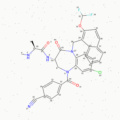 CN[C@@H](C)C(=O)N[C@H]1CN(C(=O)c2ccc(C#N)cc2)c2cc(Cl)ccc2N(Cc2c(OC(F)F)ccc3ccccc23)C1=O